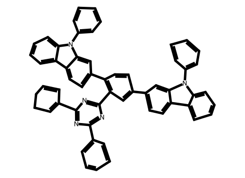 C1=CC(c2nc(-c3ccccc3)nc(-c3cc(-c4ccc5c6ccccc6n(-c6ccccc6)c5c4)ccc3-c3ccc4c5ccccc5n(-c5ccccc5)c4c3)n2)=CCC1